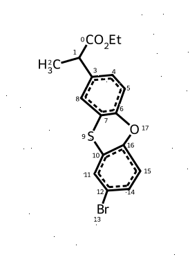 CCOC(=O)C(C)c1ccc2c(c1)Sc1cc(Br)ccc1O2